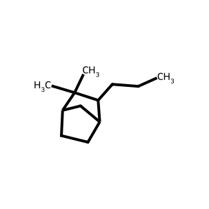 CCCC1C2CCC(C2)C1(C)C